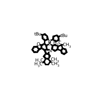 CC(C)(C)c1ccc(N2B3c4cc5c(cc4-n4c6cc7c(cc6c6c8c(oc9ccccc98)c(c3c64)-c3cc(C(C)(C)C)ccc32)C(C)(C)CCC7(C)C)-c2ccccc2C5(C)C)cc1